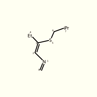 C=N/C=C(/CC)SCC(C)C